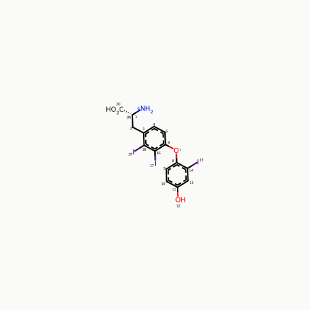 N[C@H](Cc1ccc(Oc2ccc(O)cc2I)c(I)c1I)C(=O)O